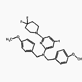 COc1ccc(CN(Cc2ccc(OC)cc2)c2cc(I)cc(N3CCC(F)(F)CC3)n2)cc1